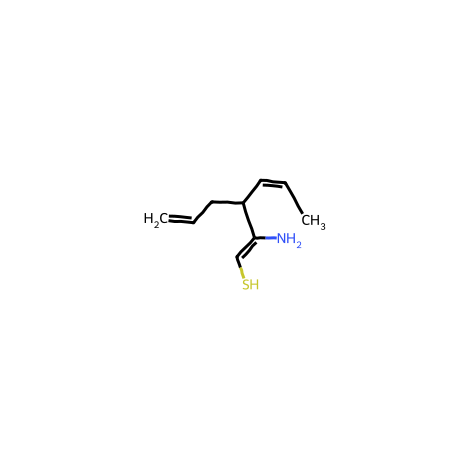 C=CCC(/C=C\C)/C(N)=C/S